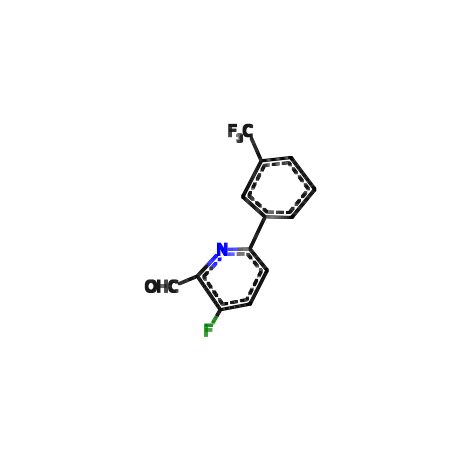 O=Cc1nc(-c2cccc(C(F)(F)F)c2)ccc1F